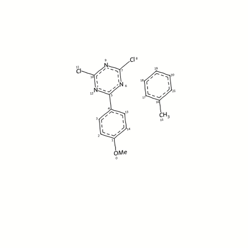 COc1ccc(-c2nc(Cl)nc(Cl)n2)cc1.Cc1ccccc1